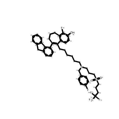 O=S(=O)(CCCN(CCCCCCC1=C(c2cccc3c2-c2ccccc2C3)CCCc2c1ccc(O)c2F)Cc1ccc(F)cc1)CCCC(F)(F)C(F)(F)F